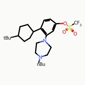 CCCCN1CCN(c2cc(OS(=O)(=O)C(F)(F)F)ccc2C2CCC(C(C)(C)C)CC2)CC1